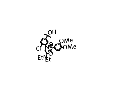 CCN(CC)C(=O)CN(c1cc(C(C)(C)O)ccc1Cl)S(=O)(=O)c1ccc(OC)c(OC)c1